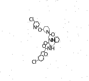 O=C(N[C@@H](Cc1ccccn1)C(=O)NCC(=O)N1CCCC(Oc2ccc(Cl)cn2)C1)c1cc2cc(Cl)ccc2o1